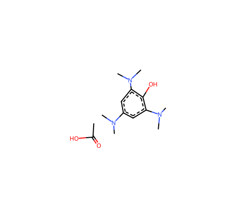 CC(=O)O.CN(C)c1cc(N(C)C)c(O)c(N(C)C)c1